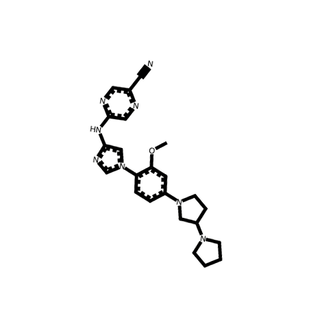 COc1cc(N2CCC(N3CCCC3)C2)ccc1-n1cnc(Nc2cnc(C#N)cn2)c1